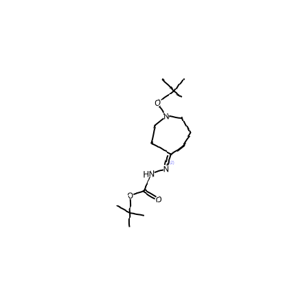 CC(C)(C)OC(=O)N/N=C1/CCCN(OC(C)(C)C)CC1